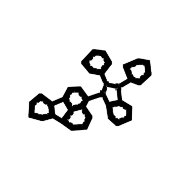 c1ccc(N2c3ccccc3N(c3ccc4c5c(cccc35)-c3ccccc3-4)P2c2ccccc2)cc1